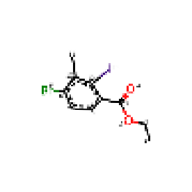 CCOC(=O)c1ccc(Br)c(C)c1I